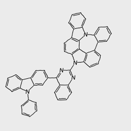 c1ccc(-n2c3ccccc3c3ccc(-c4nc(-n5c6cccc7c8ccccc8n8c9ccccc9c9ccc5c(c76)c98)nc5ccccc45)cc32)cc1